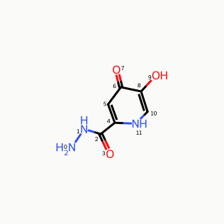 NNC(=O)c1cc(=O)c(O)c[nH]1